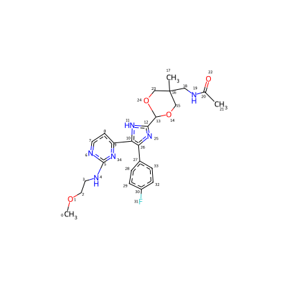 COCCNc1nccc(-c2[nH]c(C3OCC(C)(CNC(C)=O)CO3)nc2-c2ccc(F)cc2)n1